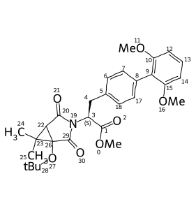 COC(=O)[C@H](Cc1ccc(-c2c(OC)cccc2OC)cc1)N1C(=O)C2C(C)(C)C2(OC(C)(C)C)C1=O